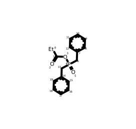 CCC(=O)OP(=O)(Cc1ccccc1)Cc1ccccc1